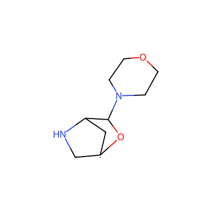 C1CN(C2O[C]3CNC2C3)CCO1